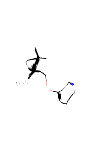 CNC1(COc2cccnc2)CC1(C)C